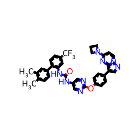 Cc1ccc(-c2ccc(C(F)(F)F)cc2NC(=O)Nc2cnc(Oc3ccc(-c4cnn5ccc(N6CCC6)nc45)cc3)nc2)cc1C